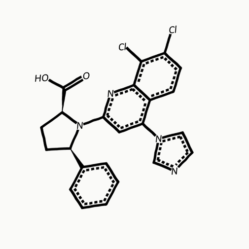 O=C(O)[C@@H]1CC[C@H](c2ccccc2)N1c1cc(-n2ccnc2)c2ccc(Cl)c(Cl)c2n1